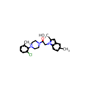 Cc1ccc2c(c1)cc(C(=O)O)n2CC(=O)N1CCN(c2c(C)cccc2Cl)CC1